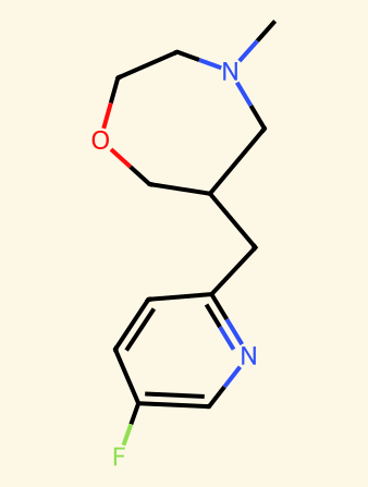 CN1CCOCC(Cc2ccc(F)cn2)C1